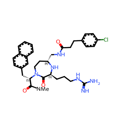 CNC(=O)[C@H](Cc1ccc2ccccc2c1)N1CC[C@H](CNC(=O)CCc2ccc(Cl)cc2)N[C@@H](CCCNC(=N)N)C1=O